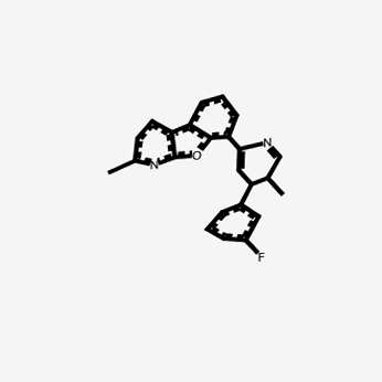 Cc1ccc2c(n1)oc1c(C3=CC(c4cccc(F)c4)C(C)C=N3)cccc12